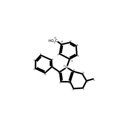 CC1CCc2cc(-c3ccccc3)n(-c3cccc(C(=O)O)c3)c2C1